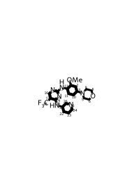 COc1cc(N2CCOCC2)ccc1Nc1ncc(C(F)(F)F)c(Nc2cccnc2)n1